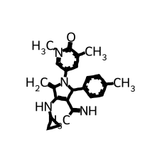 C=C1C(NC2CC2)=C(C(C)=N)C(c2ccc(C)cc2)N1c1cc(C)c(=O)n(C)c1